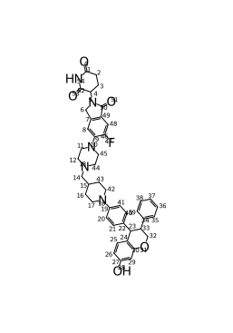 O=C1CCC(N2Cc3cc(N4CCN(CC5CCN(c6ccc(C7c8ccc(O)cc8OCC7c7ccccc7)cc6)CC5)CC4)c(F)cc3C2=O)C(=O)N1